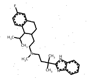 CC(C)C1[C](CCN(C)CCC(C)(C)c2nc3ccccc3[nH]2)CCc2cc(F)ccc21